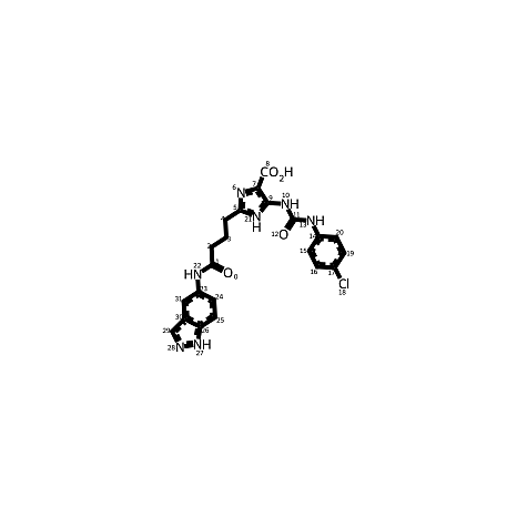 O=C(CCCc1nc(C(=O)O)c(NC(=O)Nc2ccc(Cl)cc2)[nH]1)Nc1ccc2[nH]ncc2c1